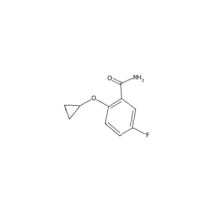 NC(=O)c1cc(F)ccc1OC1CC1